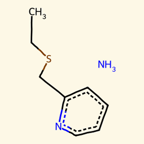 CCSCc1ccccn1.N